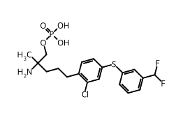 CC(N)(CCCc1ccc(Sc2cccc(C(F)F)c2)cc1Cl)COP(=O)(O)O